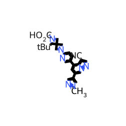 Cn1cc(-c2cc(-c3ccc(N4CC5(C4)CN(C(=O)O)C5C(C)(C)C)nc3)c3c(C#N)cnn3c2)cn1